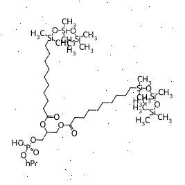 CCCOP(=O)(O)OCC(COC(=O)CCCCCCCCC[Si](C)(C)O[Si](C)(C)O[Si](C)(C)C)OC(=O)CCCCCCCCC[Si](C)(C)O[Si](C)(C)O[Si](C)(C)C